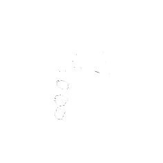 C=CC[C@H](C(N)=O)[C@@H](CC(C)C)C(=O)N[C@H]1CCCCN(Cc2cccc(-c3ccc4ccccc4c3)c2)C1=O